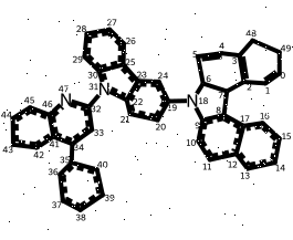 C1=CC2=C(C=CC3C2c2c(ccc4ccccc24)N3c2ccc3c(c2)c2ccccc2n3-c2cc(-c3ccccc3)c3ccccc3n2)CC1